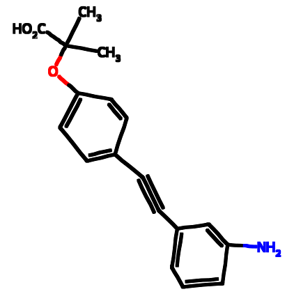 CC(C)(Oc1ccc(C#Cc2cccc(N)c2)cc1)C(=O)O